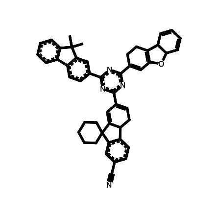 CC1(C)c2ccccc2-c2ccc(-c3nc(C4=CCC5C(=C4)C4(CCCCC4)c4cc(C#N)ccc45)nc(C4=CC5=C(CC4)C4C=CC=CC4O5)n3)cc21